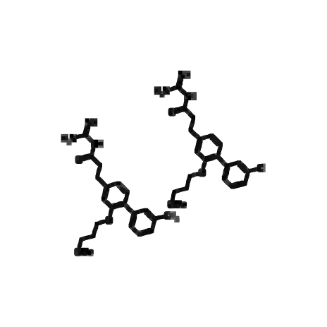 COCCCOc1cc(CCC(=O)NC(=N)N)ccc1-c1cccc(C)c1.COCCCOc1cc(CCC(=O)NC(=N)N)ccc1-c1cccc(Cl)c1